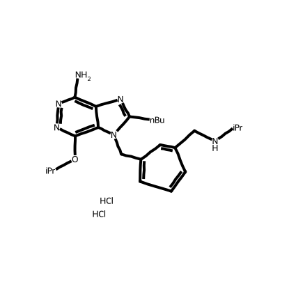 CCCCc1nc2c(N)nnc(OC(C)C)c2n1Cc1cccc(CNC(C)C)c1.Cl.Cl